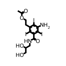 CC(=O)OCCc1c(I)c(N)c(I)c(C(=O)NCC(O)CO)c1I